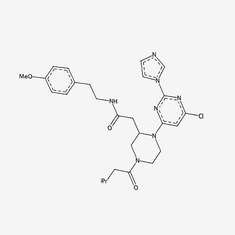 COc1ccc(CCNC(=O)CC2CN(C(=O)CC(C)C)CCN2c2cc(Cl)nc(-n3ccnc3)n2)cc1